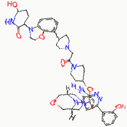 Nc1nnc(-c2ccccc2O)cc1N1C[C@H]2COC[C@@H](C1)N2c1cccc(OC2CCN(C(=O)CN3CCC(c4cccc5c4OCCN5C4CCC(O)NC4=O)CC3)CC2)c1